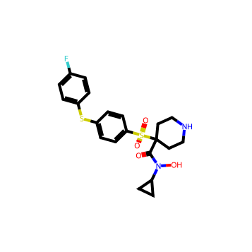 O=C(N(O)C1CC1)C1(S(=O)(=O)c2ccc(Sc3ccc(F)cc3)cc2)CCNCC1